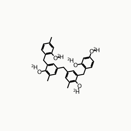 [2H]Oc1ccc(Cc2cc(Cc3cc(C)c(O[2H])c(Cc4ccc(C)cc4O[2H])c3)cc(C)c2O[2H])c(O[2H])c1